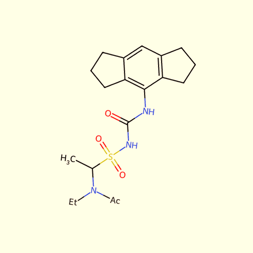 CCN(C(C)=O)C(C)S(=O)(=O)NC(=O)Nc1c2c(cc3c1CCC3)CCC2